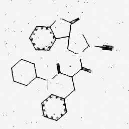 N#C[C@@H]1C[C@@]2(CN1C(=O)C(Cc1ccccc1)C(=O)NC1CCCCC1)C(=O)Nc1ccccc12